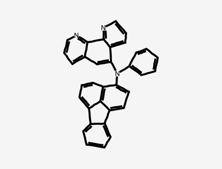 c1ccc(N(c2ccc3c4c(cccc24)-c2ccccc2-3)c2cc3cccnc3c3ncccc23)cc1